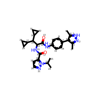 Cc1n[nH]c(C)c1-c1ccc(NC(=O)C(NC(=O)c2ccnn2C(C)C)C(C2CC2)C2CC2)cc1